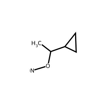 CC(O[N])C1CC1